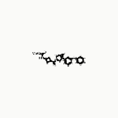 COC(=O)NC1CC(C(=O)N2CC3CC3(c3cccc(Oc4ccccc4)c3)C2)C1